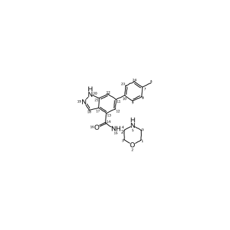 C1COCCN1.Cc1ccc(-c2cc(C(N)=O)c3cn[nH]c3c2)cc1